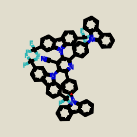 N#Cc1c(-n2c3cc(C(F)(F)F)ccc3c3ccc(C(F)(F)F)cc32)c(-c2ccc(-n3c4ccccc4c4ccccc43)cc2)nc(-c2ccc(-n3c4ccccc4c4ccccc43)cc2)c1-n1c2cc(C(F)(F)F)ccc2c2ccc(C(F)(F)F)cc21